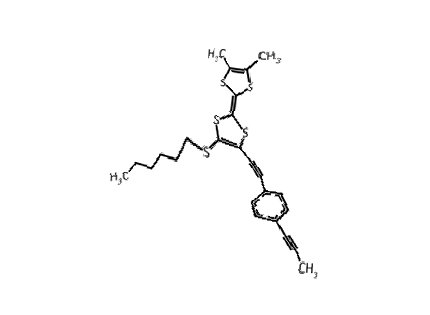 CC#Cc1ccc(C#CC2=C(SCCCCCC)SC(=C3SC(C)=C(C)S3)S2)cc1